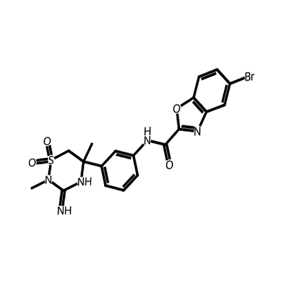 CN1C(=N)NC(C)(c2cccc(NC(=O)c3nc4cc(Br)ccc4o3)c2)CS1(=O)=O